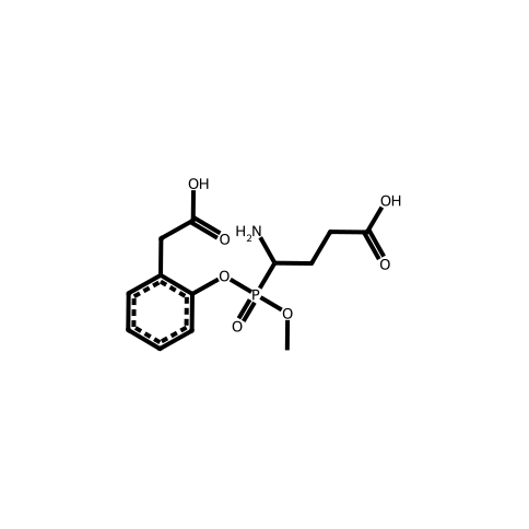 COP(=O)(Oc1ccccc1CC(=O)O)C(N)CCC(=O)O